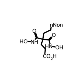 CCCCCCCCCCCC(CCC(=O)O)(C(=O)NO)C(=O)NO